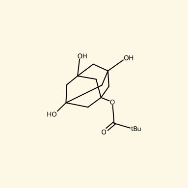 CC(C)(C)C(=O)OC12CC3(O)CC(O)(CC(O)(C3)C1)C2